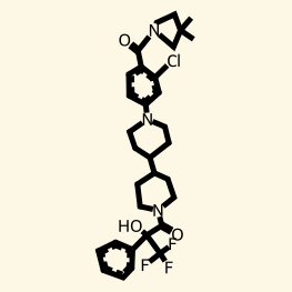 CC1(C)CCN(C(=O)c2ccc(N3CCC(C4CCN(C(=O)C(O)(c5ccccc5)C(F)(F)F)CC4)CC3)cc2Cl)C1